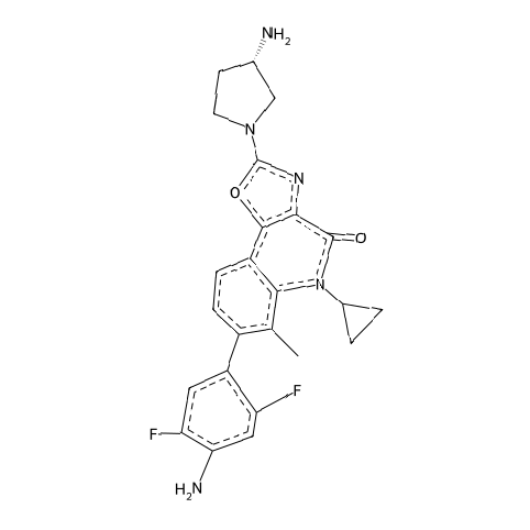 Cc1c(-c2cc(F)c(N)cc2F)ccc2c3oc(N4CC[C@H](N)C4)nc3c(=O)n(C3CC3)c12